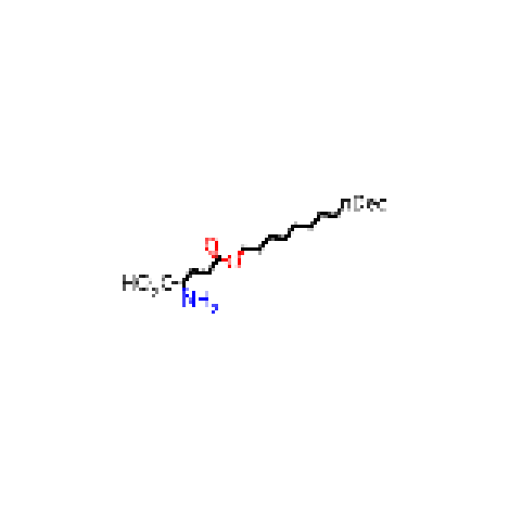 CCCCCCCCCCCCCCCCCCOC(=O)CC[C@@H](N)C(=O)O